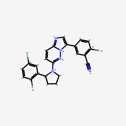 N#Cc1cc(-c2cnc3ccc(N4CCCC4c4cc(F)ccc4F)nn23)ccc1F